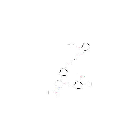 COc1ccccc1COCCCOc1ccc(C2CCN(C(=O)O)CC2OCc2ccc(C)c(C(=O)Cl)c2)cc1